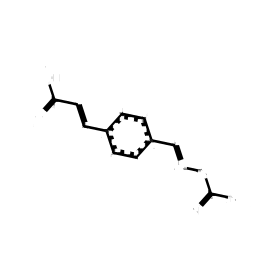 N=C(N)NN=Cc1ccc(C=CC(=O)O)cc1